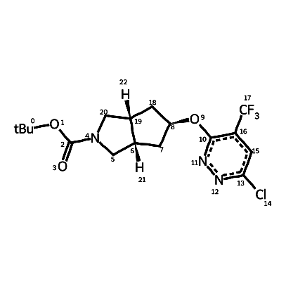 CC(C)(C)OC(=O)N1C[C@H]2C[C@H](Oc3nnc(Cl)cc3C(F)(F)F)C[C@H]2C1